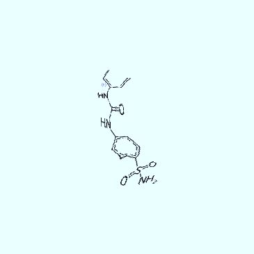 C=C/C(=C\C)NC(=O)Nc1ccc(S(N)(=O)=O)cc1